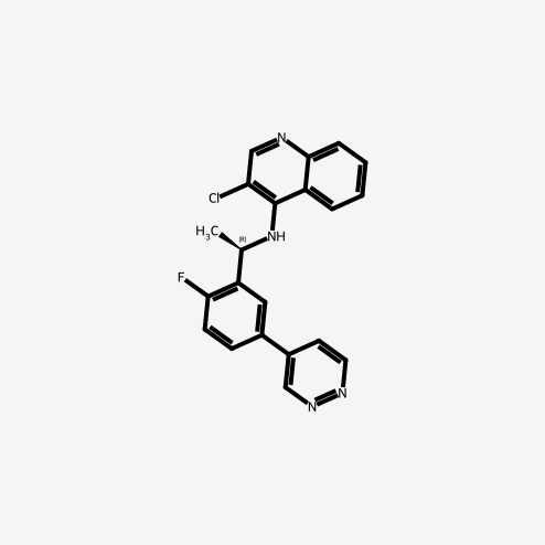 C[C@@H](Nc1c(Cl)cnc2ccccc12)c1cc(-c2ccnnc2)ccc1F